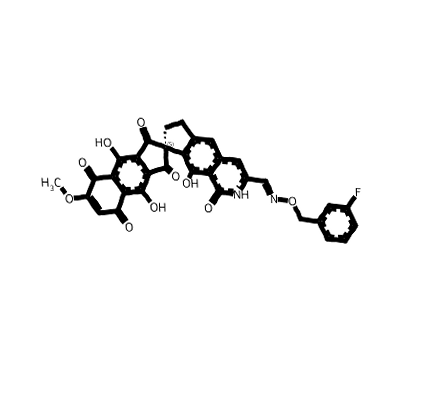 COC1=CC(=O)c2c(O)c3c(c(O)c2C1=O)C(=O)[C@]1(CCc2cc4cc(C=NOCc5cccc(F)c5)[nH]c(=O)c4c(O)c21)C3=O